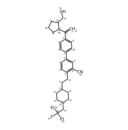 C=C(c1ccc(-c2ccc(CCC3CCN(CC(F)(CC)CC)CC3)c(C#N)c2)cc1)N1CCCC1CO